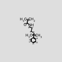 C=C(C)C(=O)NCCCSC(C)(C)c1ccccc1